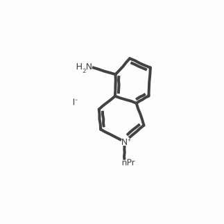 CCC[n+]1ccc2c(N)cccc2c1.[I-]